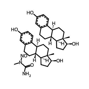 CN(N=O)C(N)=O.C[C@]12CC[C@@H]3c4ccc(O)cc4CC[C@H]3[C@@H]1CC[C@@H]2O.C[C@]12CC[C@@H]3c4ccc(O)cc4CC[C@H]3[C@@H]1CC[C@@H]2O